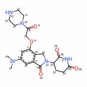 CN(C)c1cc(OCC(=O)N2CCNCC2)c2c(c1)C(=O)N(C1CCC(=O)NC1=O)C2